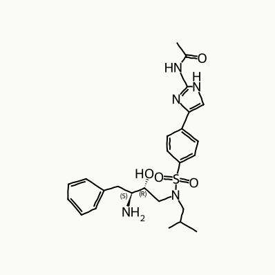 CC(=O)Nc1nc(-c2ccc(S(=O)(=O)N(CC(C)C)C[C@@H](O)[C@@H](N)Cc3ccccc3)cc2)c[nH]1